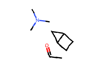 C1CC2CC12.CC=O.CN(C)C